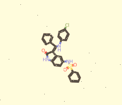 O=C1Nc2ccc(NS(=O)(=O)c3ccccc3)cc2C1=C(Nc1ccc(Cl)cc1)c1ccccc1